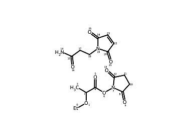 CCOC(C)C(=O)ON1C(=O)CCC1=O.NC(=O)CCN1C(=O)C=CC1=O